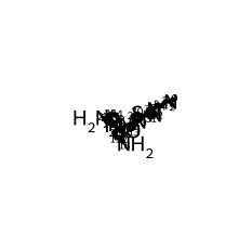 CN(C)CCCn1cc(-c2nc(C(=O)Nc3cc(N)ccc3N3CCCC(N)C3)cs2)cn1